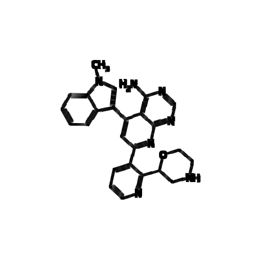 Cn1cc(-c2cc(-c3cccnc3C3CNCCO3)nc3ncnc(N)c23)c2ccccc21